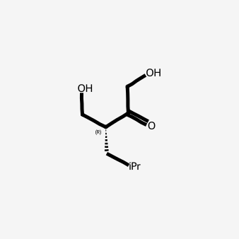 CC(C)C[C@H](CO)C(=O)CO